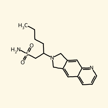 CCCCC(CS(N)(=O)=O)N1Cc2cc3cccnc3cc2C1